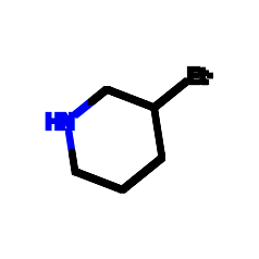 C[CH]C1CCCNC1